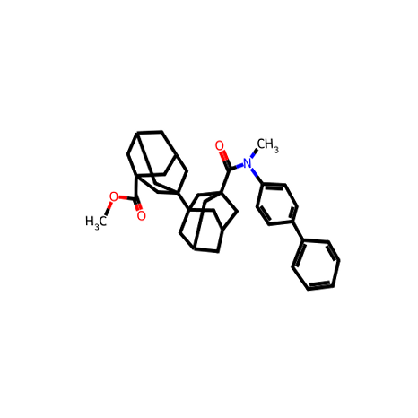 COC(=O)C12CC3CC(C1)CC(C14CC5CC(CC(C(=O)N(C)c6ccc(-c7ccccc7)cc6)(C5)C1)C4)(C3)C2